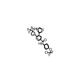 NC1(C(F)(F)F)CCN(c2ncc(C(=O)Nc3ccc(OC(F)(F)Cl)cc3)cc2-c2cncnc2)C1